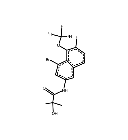 [2H]C([2H])(F)Oc1c(F)ccc2cc(NC(=O)C(C)(C)O)cc(Br)c12